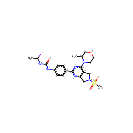 CC(I)NC(=O)Nc1ccc(-c2nc3c(c(N4CCOCC4C)n2)CN(S(C)(=O)=O)C3)cc1